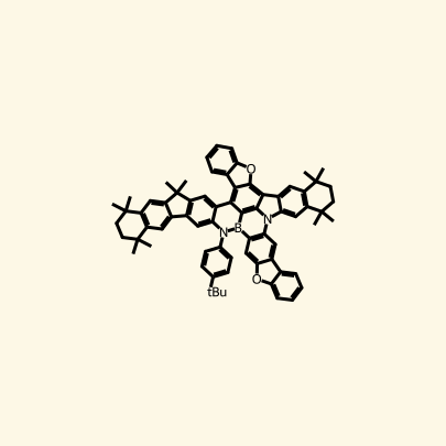 CC(C)(C)c1ccc(N2B3c4cc5oc6ccccc6c5cc4-n4c5cc6c(cc5c5c7oc8ccccc8c7c(c3c54)-c3cc4c(cc32)-c2cc3c(cc2C4(C)C)C(C)(C)CCC3(C)C)C(C)(C)CCC6(C)C)cc1